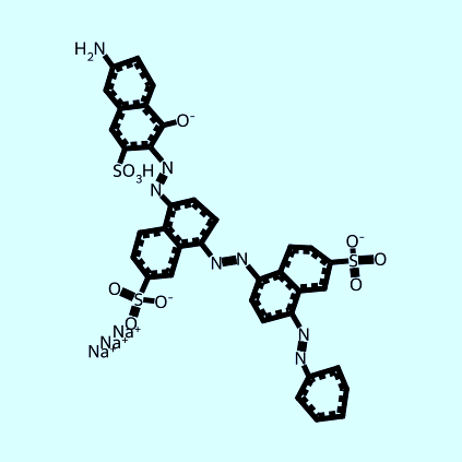 Nc1ccc2c([O-])c(N=Nc3ccc(N=Nc4ccc(N=Nc5ccccc5)c5cc(S(=O)(=O)[O-])ccc45)c4cc(S(=O)(=O)[O-])ccc34)c(S(=O)(=O)O)cc2c1.[Na+].[Na+].[Na+]